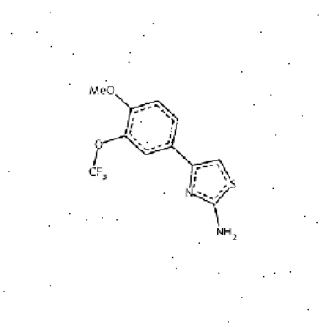 COc1ccc(-c2csc(N)n2)cc1OC(F)(F)F